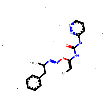 C/C=C(/NC(=O)Nc1cccnn1)ON=NC(C)Cc1ccccc1